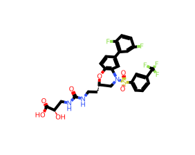 O=C(NCC[C@H]1CN(S(=O)(=O)c2cccc(C(F)(F)F)c2)c2cc(-c3cc(F)ccc3F)ccc2O1)NC[C@H](O)C(=O)O